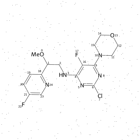 COC(CNc1nc(Cl)nc(N2CCOCC2)c1F)c1ccc(F)cn1